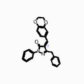 O=C1/C(=C\c2ccc3c(c2)OCCO3)C(Cc2ccccc2)=NN1c1ccccc1